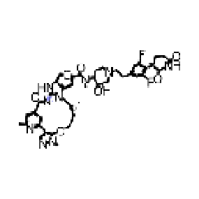 Cc1cc2cc(n1)-c1cnn(C)c1OCCC[C@@H](C)CN1/C(=N/C2=O)Nc2ccc(C(=O)N(C)[C@@H]3CCN(CCc4cc(F)c([C@H]5CCC(=O)NC5=O)c(F)c4)C[C@H]3O)cc21